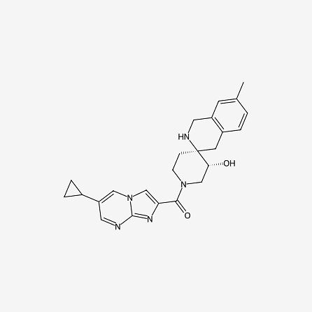 Cc1ccc2c(c1)CN[C@@]1(CCN(C(=O)c3cn4cc(C5CC5)cnc4n3)C[C@H]1O)C2